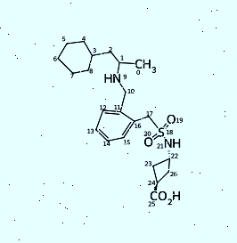 CC(CC1CCCCC1)NCc1ccccc1CS(=O)(=O)N[C@H]1C[C@H](C(=O)O)C1